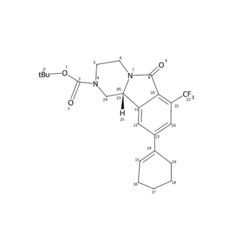 CC(C)(C)OC(=O)N1CCN2C(=O)c3c(cc(C4=CCCCC4)cc3C(F)(F)F)[C@@H]2C1